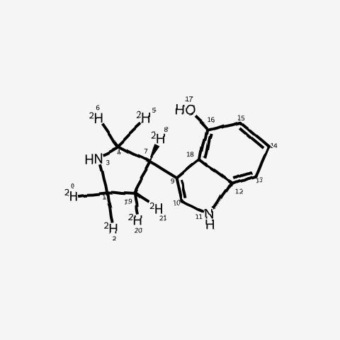 [2H]C1([2H])NC([2H])([2H])[C@]([2H])(c2c[nH]c3cccc(O)c23)C1([2H])[2H]